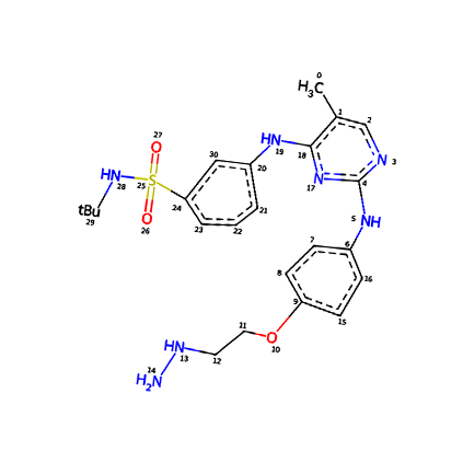 Cc1cnc(Nc2ccc(OCCNN)cc2)nc1Nc1cccc(S(=O)(=O)NC(C)(C)C)c1